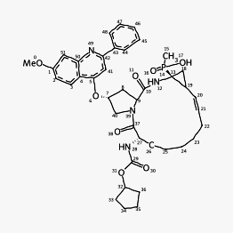 COc1ccc2c(O[C@@H]3CC4C(=O)N[C@]5(P(C)(=O)O)CC5/C=C\CCCCC[C@H](NC(=O)OC5CCCC5)C(=O)N4C3)cc(-c3ccccc3)nc2c1